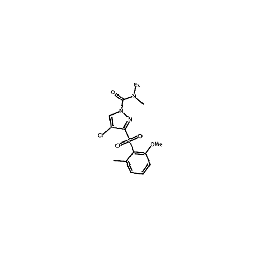 CCN(C)C(=O)n1cc(Cl)c(S(=O)(=O)c2c(C)cccc2OC)n1